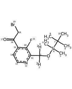 [2H]C([2H])(O[Si](C)(C)C(C)(C)C)c1nccc(C(=O)CBr)c1F